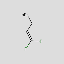 [CH2]CCCC=C(F)F